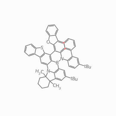 CC(C)(C)c1ccc(N2B3c4cc(C(C)(C)C)cc5c4N(c4cc6c(sc7ccccc76)c(c43)-c3c2ccc2c3oc3ccccc32)C2(C)CCCCC52C)c(-c2ccccc2)c1